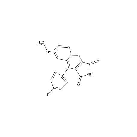 COc1ccc2cc3c(c(-c4ccc(F)cc4)c2c1)C(=O)NC3=O